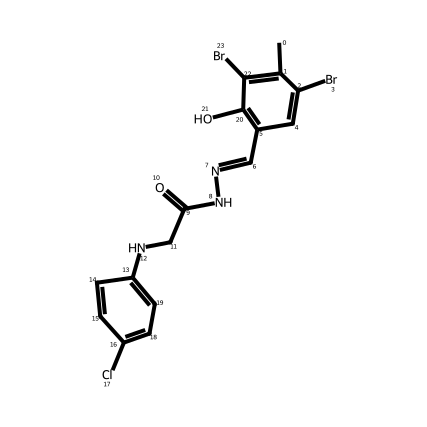 Cc1c(Br)cc(/C=N/NC(=O)CNc2ccc(Cl)cc2)c(O)c1Br